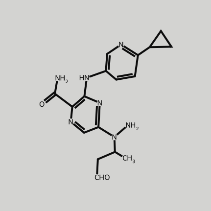 CC(CC=O)N(N)c1cnc(C(N)=O)c(Nc2ccc(C3CC3)nc2)n1